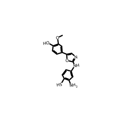 COc1cc(-c2cnc(Nc3ccc(S)c(N)c3)o2)ccc1O